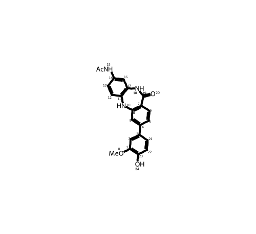 COc1cc(-c2ccc3c(c2)Nc2ccc(NC(C)=O)cc2NC3=O)ccc1O